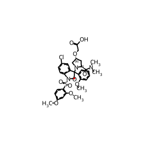 COc1ccc(S(=O)(=O)N2C(=O)C(c3ccccc3OC)(N3C[C@H](OCC(=O)O)C[C@H]3C(=O)N(C)C)c3cc(Cl)ccc32)c(OC)c1